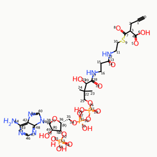 C#CCC(C(=O)O)C(=O)SCCNC(=O)CCNC(=O)C(O)C(C)(C)COP(=O)(O)OP(=O)(O)OC[C@H]1O[C@@H](n2cnc3c(N)ncnc32)[C@H](O)[C@@H]1OP(=O)(O)O